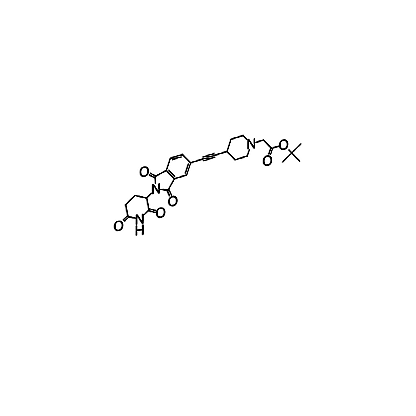 CC(C)(C)OC(=O)CN1CCC(C#Cc2ccc3c(c2)C(=O)N(C2CCC(=O)NC2=O)C3=O)CC1